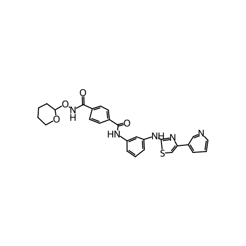 O=C(NOC1CCCCO1)c1ccc(C(=O)Nc2cccc(Nc3nc(-c4cccnc4)cs3)c2)cc1